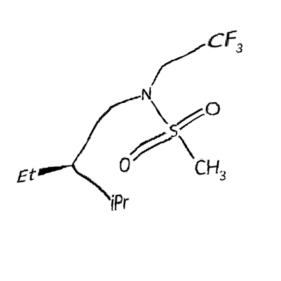 CC[C@@H](CN(CC(F)(F)F)S(C)(=O)=O)C(C)C